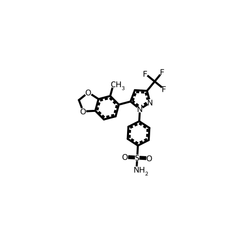 Cc1c(-c2cc(C(F)(F)F)nn2-c2ccc(S(N)(=O)=O)cc2)ccc2c1OCO2